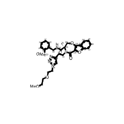 COCCOCCn1cc(CCN2C(=O)c3oc4ccccc4c3OC[C@]2(C)C(=O)NCc2ccccc2OC)nn1